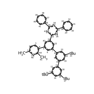 Cc1ccc(-c2cc(-c3cc(-c4cc(C(C)(C)C)cc(C(C)(C)C)c4)cc(C(C)(C)C)c3)cc(-c3nc(-c4ccccc4)nc(-c4ccccc4)n3)c2)c(C)n1